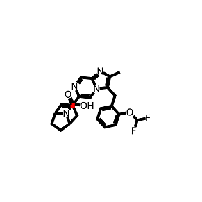 Cc1nc2cnc(C3=CC4CCC(C3)N4C(=O)O)cn2c1Cc1ccccc1OC(F)F